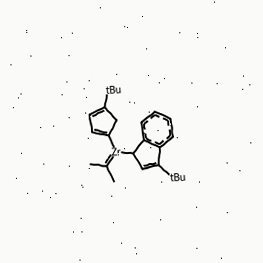 C[C](C)=[Zr]([C]1=CC=C(C(C)(C)C)C1)[CH]1C=C(C(C)(C)C)c2ccccc21